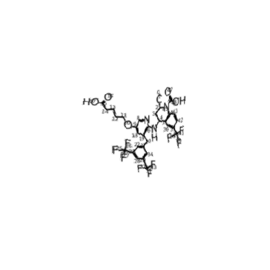 CC[C@@H]1C[C@H](Nc2ncc(OCCCCC(=O)O)cc2Cc2cc(C(F)(F)F)cc(C(F)(F)F)c2)c2cc(C(F)(F)F)ccc2N1C(=O)O